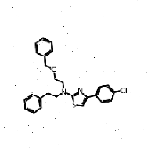 Clc1ccc(-c2csc(N(CCOCc3ccccc3)CCc3[c]cccc3)n2)cc1